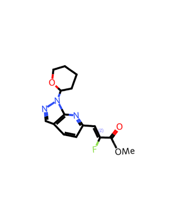 COC(=O)/C(F)=C/c1ccc2cnn(C3CCCCO3)c2n1